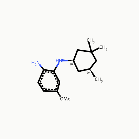 COc1ccc(N)c(N[C@@H]2C[C@H](C)CC(C)(C)C2)c1